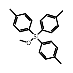 CO[Si](c1ccc(C)cc1)(c1ccc(C)cc1)c1ccc(C)cc1